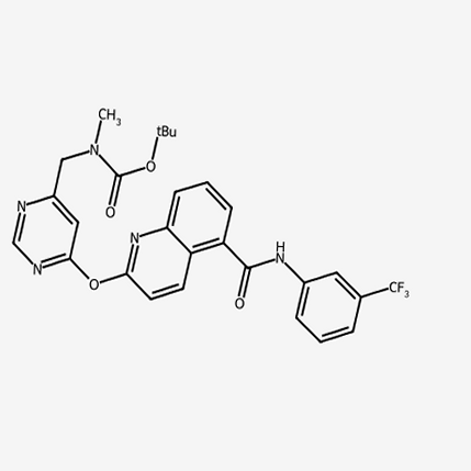 CN(Cc1cc(Oc2ccc3c(C(=O)Nc4cccc(C(F)(F)F)c4)cccc3n2)ncn1)C(=O)OC(C)(C)C